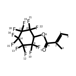 CC=C(C)C(=O)OC1C(F)(F)C(F)(F)C(F)(F)C(F)(F)C1(F)F